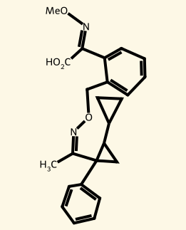 CO/N=C(\C(=O)O)c1ccccc1CO/N=C(/C)C1(c2ccccc2)CC1C1CC1